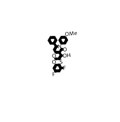 COc1ccc(-n2c(-c3ccccc3)cc3oc(=O)c(Sc4ccc(F)cc4F)c(O)c3c2=O)cc1